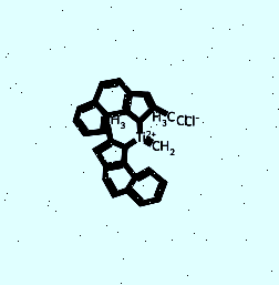 [CH2]=[Ti+2]([CH]1C(C)=Cc2ccc3ccccc3c21)[CH]1C(C)=Cc2ccc3ccccc3c21.[Cl-].[Cl-]